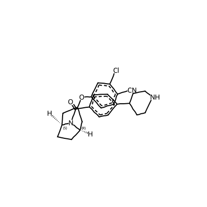 N#Cc1ccc(OC2C[C@H]3CC[C@@H](C2)N3C(=O)c2ccc(C3CCNCC3)cc2)cc1Cl